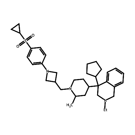 CCN1Cc2ccccc2C(C2CCCC2)(C2CCN(CC3CN(c4ccc(S(=O)(=O)C5CC5)cc4)C3)C(C)C2)C1